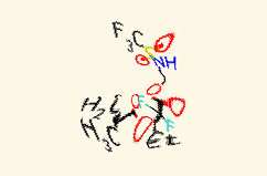 C=C(C)C(=O)OC(CC)C(F)(F)C(=O)OCCNS(=O)(=O)C(F)(F)F